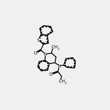 CCC(=O)N(c1ccccc1)C1CC(C)N(C(=O)c2cc3ccccc3s2)c2ccccc21